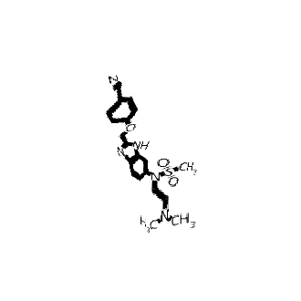 CN(C)CCN(c1ccc2nc(COc3ccc(C#N)cc3)[nH]c2c1)S(C)(=O)=O